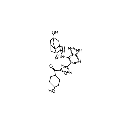 O=C(c1nc(-c2cnc3[nH]cnc3c2N[C@H]2[C@@H]3CC4C[C@H]2C[C@@](O)(C4)C3)no1)C1CCC(O)CC1